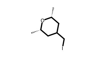 C[C@@H]1CC(CI)C[C@H](C)O1